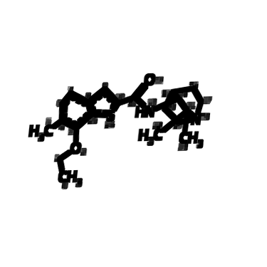 CCOc1c(C)ccc2cc(C(=O)NC3C4CCN(CC4)C3(C)C)sc12